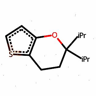 CC(C)C1(C(C)C)CCc2sccc2O1